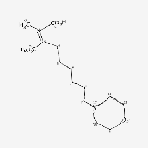 C/C(C(=O)O)=C(/CCCCCCN1CCOCC1)C(=O)O